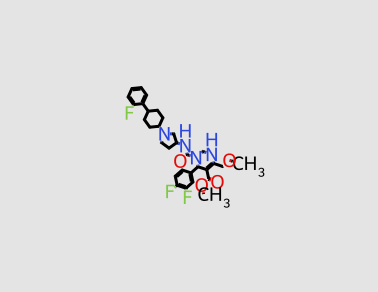 COCC1=C(C(=O)OC)C(c2ccc(F)c(F)c2)N(C(=O)NC2CCN(C3CCC(c4ccccc4F)CC3)C2)CN1